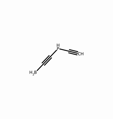 BC#CPC#C